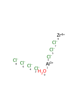 O.[Al+3].[Cl-].[Cl-].[Cl-].[Cl-].[Cl-].[Cl-].[Cl-].[Zr+4]